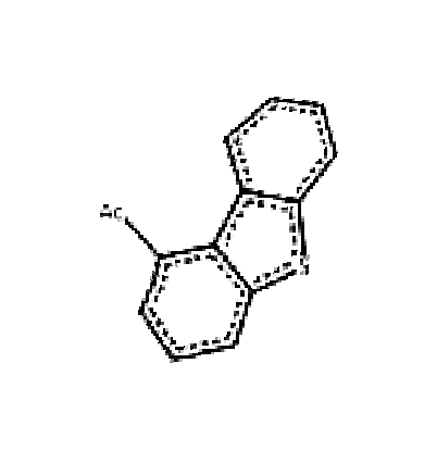 CC(=O)c1cccc2sc3ccccc3c12